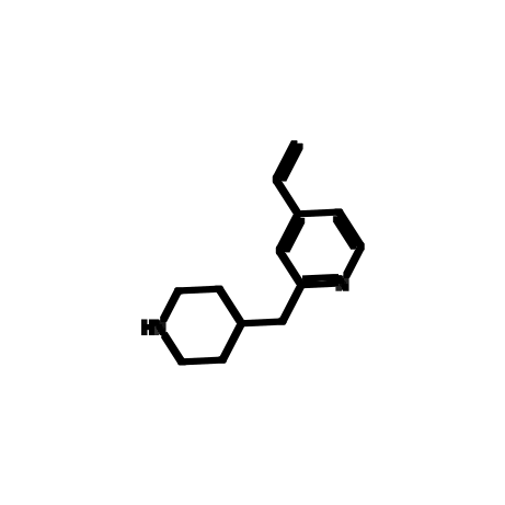 C=Cc1ccnc(CC2CCNCC2)c1